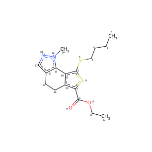 CCCCSc1sc(C(=O)OCC)c2c1-c1c(cnn1C)CC2